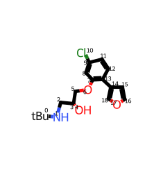 CC(C)(C)NCC(O)COc1cc(Cl)ccc1-c1ccoc1